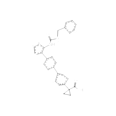 CC(=O)C1(c2ccc(-c3ccc(-c4ocnc4NC(=O)OCc4ccccc4)cc3)cc2)CC1